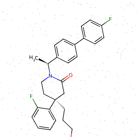 C[C@@H](c1ccc(-c2ccc(F)cc2)cc1)N1CC[C@](CCCO)(c2ccccc2F)CC1=O